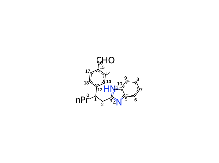 CCCC(Cc1nc2ccccc2[nH]1)c1ccc(C=O)cc1